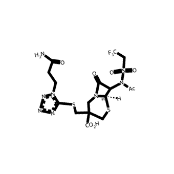 CC(=O)N(C1C(=O)N2CC(CSc3nnnn3CCC(N)=O)(C(=O)O)CS[C@H]12)S(=O)(=O)CC(F)(F)F